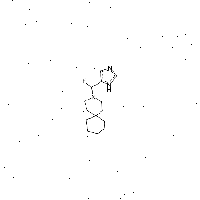 FC(c1cnc[nH]1)N1CCC2(CCCCC2)CC1